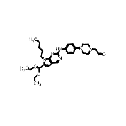 CCCCCn1c(C(OCC)OCC)cc2cnc(Nc3ccc(N4CCN(CC=O)CC4)cc3)nc21